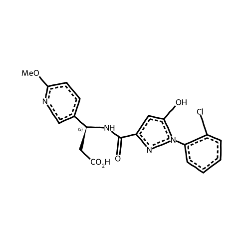 COc1ccc([C@H](CC(=O)O)NC(=O)c2cc(O)n(-c3ccccc3Cl)n2)cn1